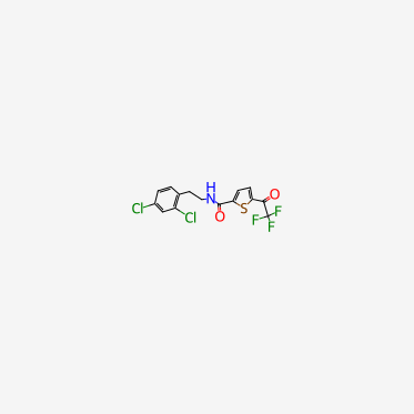 O=C(NCCc1ccc(Cl)cc1Cl)c1ccc(C(=O)C(F)(F)F)s1